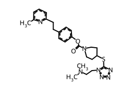 Cc1cccc(CCc2ccc(OC(=O)N3CCC(Sc4nnnn4CCN(C)C)CC3)cc2)n1